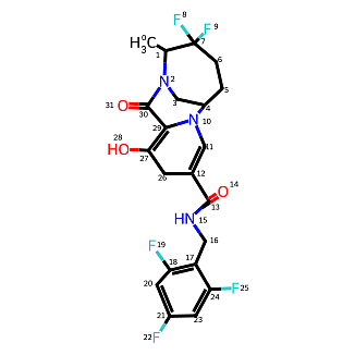 CC1N2CC(CCC1(F)F)N1C=C(C(=O)NCc3c(F)cc(F)cc3F)CC(O)=C1C2=O